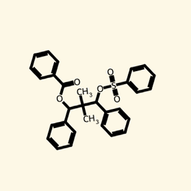 CC(C)(C(OC(=O)c1ccccc1)c1ccccc1)C(OS(=O)(=O)c1ccccc1)c1ccccc1